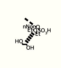 C=C.C=C.C=C.C=C.C=C.C=C.C=C.CCCCCCCCCOS(=O)(=O)O.CCOCC.OCCO